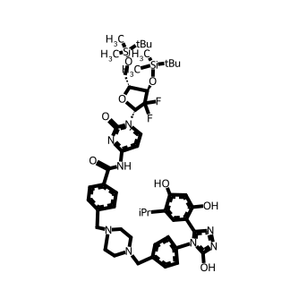 CC(C)c1cc(-c2nnc(O)n2-c2ccc(CN3CCN(Cc4ccc(C(=O)Nc5ccn([C@@H]6O[C@H](CO[Si](C)(C)C(C)(C)C)[C@@H](O[Si](C)(C)C(C)(C)C)C6(F)F)c(=O)n5)cc4)CC3)cc2)c(O)cc1O